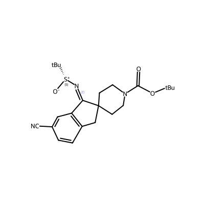 CC(C)(C)OC(=O)N1CCC2(CC1)Cc1ccc(C#N)cc1/C2=N\[S@+]([O-])C(C)(C)C